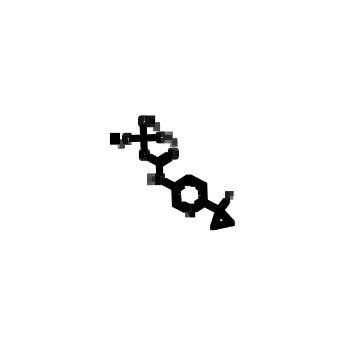 CC(C)(C)OC(=O)Nc1ccc(C2(F)CC2)nc1